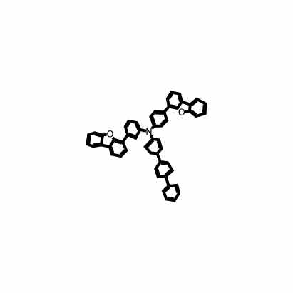 C1=CC(c2ccc(-c3ccccc3)cc2)CC=C1N(c1ccc(-c2cccc3c2oc2ccccc23)cc1)c1cccc(-c2cccc3c2oc2ccccc23)c1